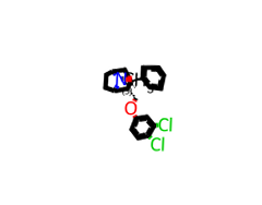 CN1C2CCC1[C@@H](COc1ccc(Cl)c(Cl)c1)[C@H](c1ccccc1)C2